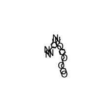 Cn1cnnc1-c1cc(Oc2ccc(OCCOC3CCOCC3)cc2)c2c(cnn2C)c1